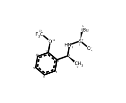 C[C@H](N[S@+]([O-])C(C)(C)C)c1ccccc1OC(F)(F)F